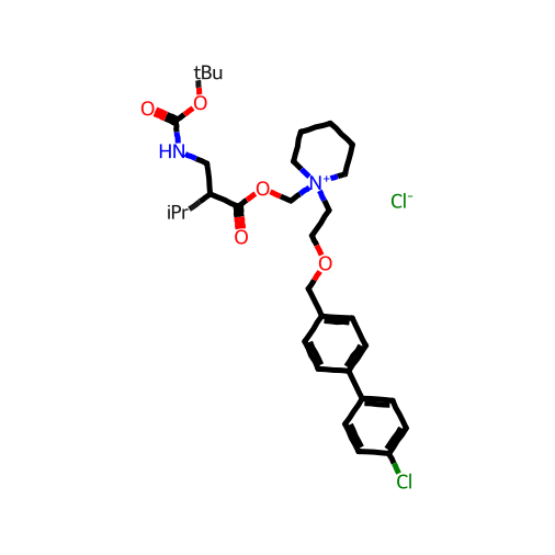 CC(C)C(CNC(=O)OC(C)(C)C)C(=O)OC[N+]1(CCOCc2ccc(-c3ccc(Cl)cc3)cc2)CCCCC1.[Cl-]